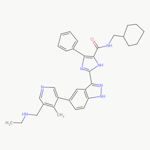 CCNCc1cncc(-c2ccc3[nH]nc(-c4nc(-c5ccccc5)c(C(=O)NCC5CCCCC5)[nH]4)c3c2)c1C